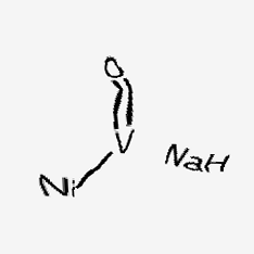 [NaH].[O]=[V][Ni]